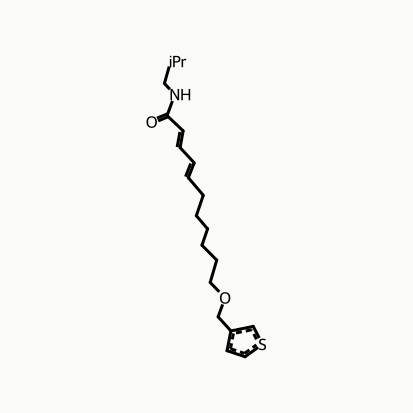 CC(C)CNC(=O)/C=C/C=C/CCCCCCOCc1ccsc1